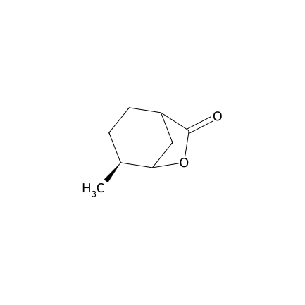 C[C@H]1CCC2CC1OC2=O